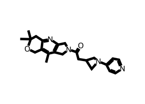 Cc1c2c(nc3c1CN(C(=O)CC1CN(c4ccncc4)C1)C3)CC(C)(C)OC2